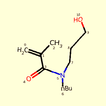 C=C(C)C(=O)N(CCCC)CCCO